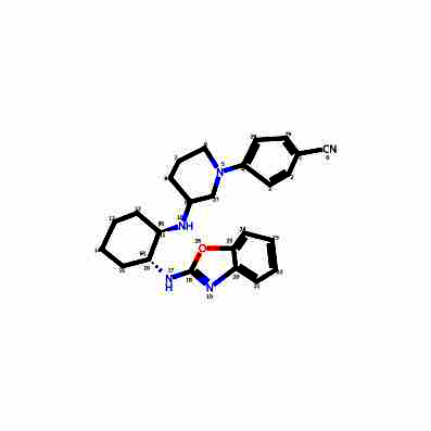 N#Cc1ccc(N2CCCC(N[C@@H]3CCCC[C@H]3Nc3nc4ccccc4o3)C2)cc1